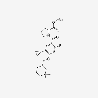 CC1(C)CCCC(COc2cc(F)c(C(=O)N3CCC[C@H]3C(=O)OC(C)(C)C)cc2C2CC2)C1